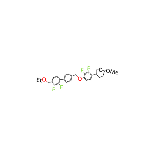 CCOCc1ccc(-c2ccc(COc3ccc(C4CCC(OC)CC4)c(F)c3F)cc2)c(F)c1F